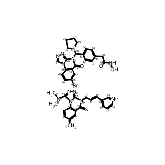 Cc1ccc2c(c1)c(=S)n(CC=Cc1cccnc1)c1nnc(N(C)C)n21.O=C(Cc1ccc(C(N2CCCC2)n2c(=O)c3cc(Br)ccc3n3cnnc23)cc1)NO